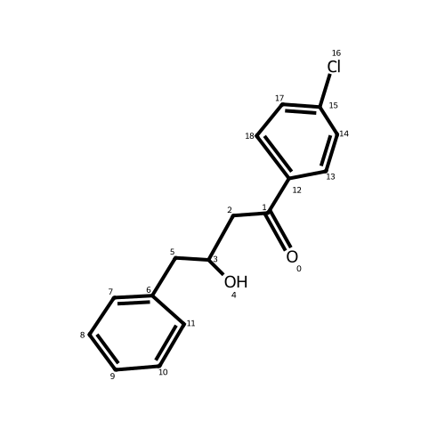 O=C(CC(O)Cc1ccccc1)c1ccc(Cl)cc1